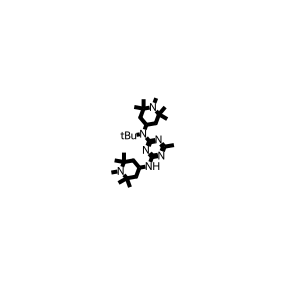 Cc1nc(NC2CC(C)(C)N(C)C(C)(C)C2)nc(N(C2CC(C)(C)N(C)C(C)(C)C2)C(C)(C)C)n1